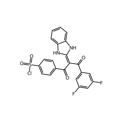 O=C(C(C(=O)c1cc(F)cc(F)c1)=C1Nc2ccccc2N1)c1ccc(S(=O)(=O)Cl)cc1